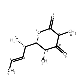 CC=C[C@H](C)[C@@H]1OC(=O)C(C)C(=O)[C@@H]1C